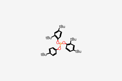 CC(C)(C)c1ccc(OP(Oc2ccc(C(C)(C)C)cc2C(C)(C)C)Oc2ccc(C(C)(C)C)cc2C(C)(C)C)cc1